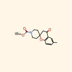 Cc1ccc2c(c1)C(=O)CC1(CCN(C(=O)OC(C)(C)C)CC1)O2